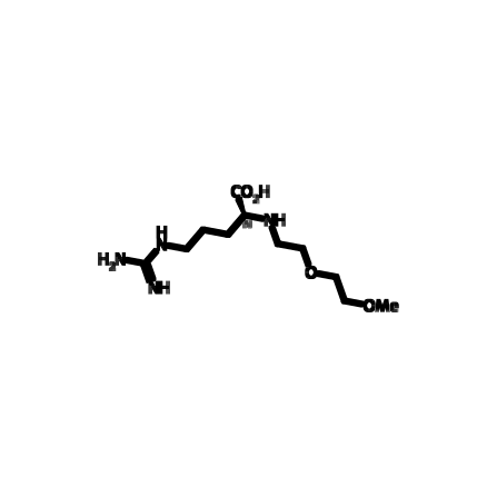 COCCOCCN[C@@H](CCCNC(=N)N)C(=O)O